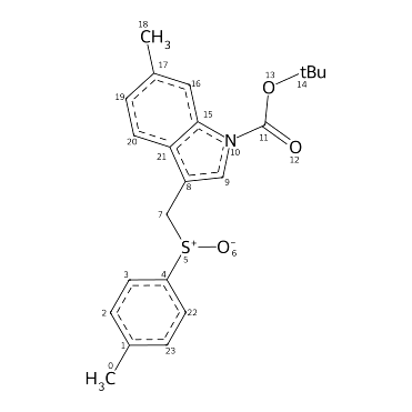 Cc1ccc([S+]([O-])Cc2cn(C(=O)OC(C)(C)C)c3cc(C)ccc23)cc1